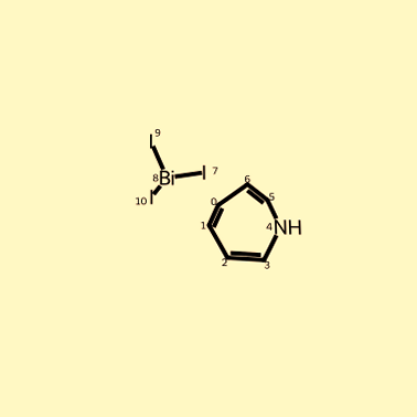 C1=CC=CNC=C1.[I][Bi]([I])[I]